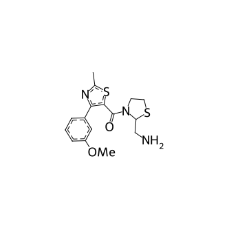 COc1cccc(-c2nc(C)sc2C(=O)N2CCSC2CN)c1